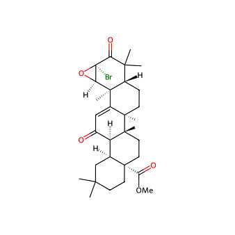 COC(=O)[C@]12CCC(C)(C)C[C@H]1[C@H]1C(=O)C=C3[C@@]4(C)[C@H]5O[C@@]5(Br)C(=O)C(C)(C)[C@@H]4CC[C@@]3(C)[C@]1(C)CC2